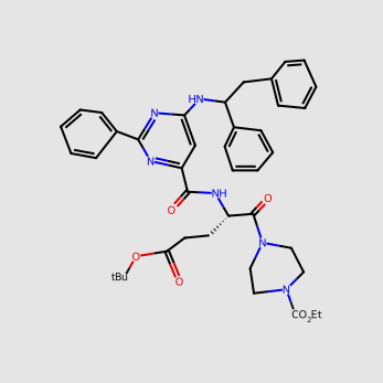 CCOC(=O)N1CCN(C(=O)[C@H](CCC(=O)OC(C)(C)C)NC(=O)c2cc(NC(Cc3ccccc3)c3ccccc3)nc(-c3ccccc3)n2)CC1